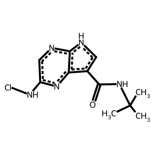 CC(C)(C)NC(=O)c1c[nH]c2ncc(NCl)nc12